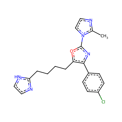 Cc1nccn1-c1nc(-c2ccc(Cl)cc2)c(CCCCc2ncc[nH]2)o1